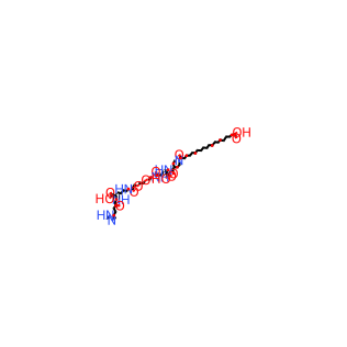 O=C(O)CCCCCCCCCCCCCCCCCCC(=O)N1CCC(C(=O)N[C@@H](CCC(=O)NCCOCCOCC(=O)NCCCC[C@H](NCC(=O)CCc2cnc[nH]2)C(=O)O)C(=O)O)CC1